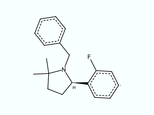 CC1(C)CC[C@H](c2cc[c]cc2F)N1Cc1ccccc1